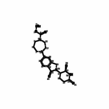 CCCCOC(=O)N1CCCN(c2ccc3c(c2)CN(C2CCC(=O)NC2=O)C3=O)CC1